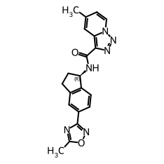 Cc1ccn2nnc(C(=O)N[C@@H]3CCc4cc(-c5noc(C)n5)ccc43)c2c1